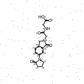 O=C(O)CNC(=O)CN1Cc2ccc(N3CCCC3=O)cc2C1=O